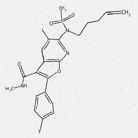 C=CCCCN(c1nc2oc(-c3ccc(F)cc3)c(C(=O)NC)c2cc1I)S(C)(=O)=O